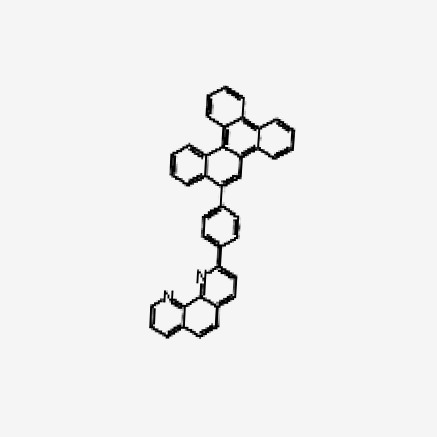 c1cnc2c(c1)ccc1ccc(-c3ccc(-c4cc5c6ccccc6c6ccccc6c5c5ccccc45)cc3)nc12